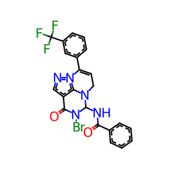 O=C(NC1N(Br)C(=O)c2cnn3c2N1CC=C3c1cccc(C(F)(F)F)c1)c1ccccc1